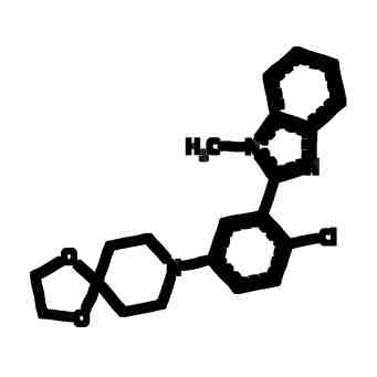 Cn1c(-c2cc(N3CCC4(CC3)OCCO4)ccc2Cl)nc2ccccc21